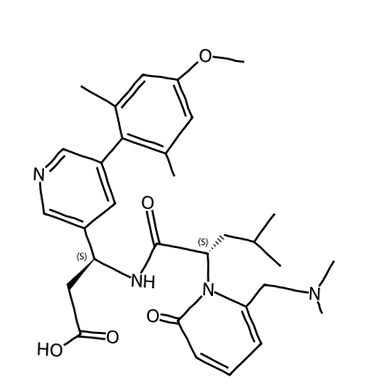 COc1cc(C)c(-c2cncc([C@H](CC(=O)O)NC(=O)[C@H](CC(C)C)n3c(CN(C)C)cccc3=O)c2)c(C)c1